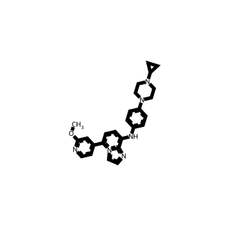 COc1cc(-c2ccc(Nc3ccc(N4CCN(C5CC5)CC4)cc3)c3nccn23)ccn1